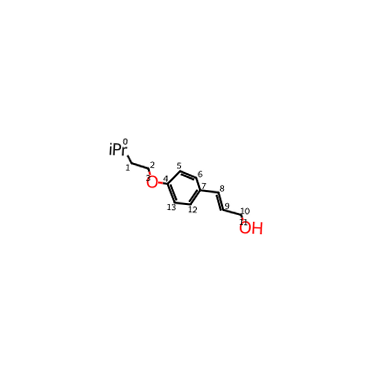 CC(C)CCOc1ccc(C=CCO)cc1